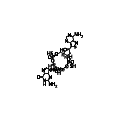 CO[C@H]1[C@H]2O[P@](=O)(S)OC[C@H]3O[C@@H](c4snc5c(N)ncnc45)C[C@@H]3O[P@@](=O)(S)OC[C@H]1O[C@H]2n1cnc2c(=O)[nH]c(N)nc21